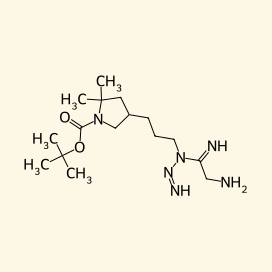 CC(C)(C)OC(=O)N1CC(CCCN(N=N)C(=N)CN)CC1(C)C